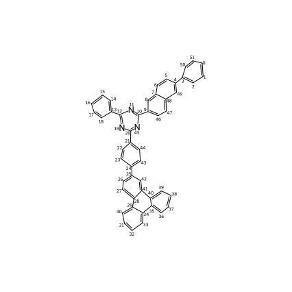 c1ccc(-c2ccc3cc(-c4nc(-c5ccccc5)nc(-c5ccc(-c6ccc7c8ccccc8c8ccccc8c7c6)cc5)n4)ccc3c2)cc1